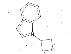 c1ccc2c(c1)ccn2C1COC1